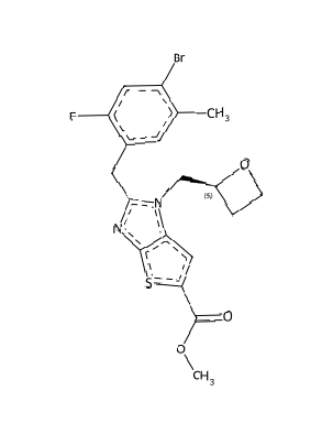 COC(=O)c1cc2c(nc(Cc3cc(C)c(Br)cc3F)n2C[C@@H]2CCO2)s1